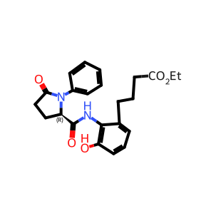 CCOC(=O)CCCc1cccc(O)c1NC(=O)[C@H]1CCC(=O)N1c1ccccc1